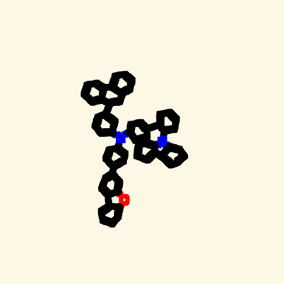 c1cc(-c2cc3ccccc3c3ccccc23)cc(N(c2ccc(-c3ccc4c(c3)oc3ccccc34)cc2)c2ccc(-c3ccccc3-n3c4ccccc4c4ccccc43)cc2)c1